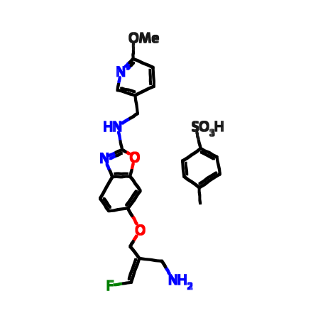 COc1ccc(CNc2nc3ccc(OC/C(=C\F)CN)cc3o2)cn1.Cc1ccc(S(=O)(=O)O)cc1